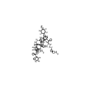 COCCCSC(=O)c1nn(-c2ccc(F)cc2)c2c1C[C@@]1(C)C(=C2)CC[C@@H]2[C@@H]1[C@@H](O)C[C@]1(C)[C@H](OC(=O)c3ccco3)CC[C@@H]21